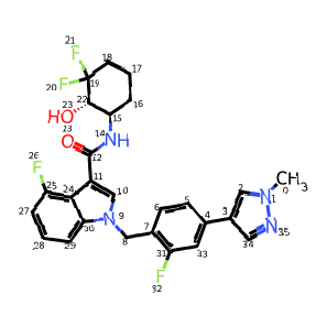 Cn1cc(-c2ccc(Cn3cc(C(=O)N[C@@H]4CCCC(F)(F)[C@H]4O)c4c(F)cccc43)c(F)c2)cn1